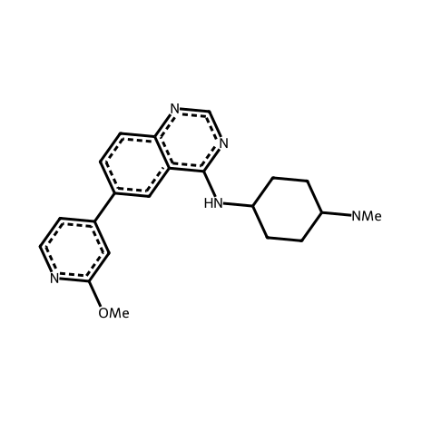 CNC1CCC(Nc2ncnc3ccc(-c4ccnc(OC)c4)cc23)CC1